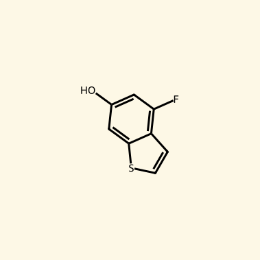 Oc1cc(F)c2ccsc2c1